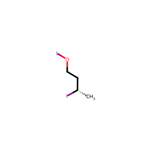 C[C@H](I)CCOI